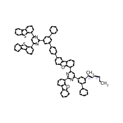 C=C/C=C\C=C(/C)c1cc(-c2ccccc2)cc(-c2cc(-c3cccc4c3oc3ccc(-c5ccc(-c6cc(-c7ccccc7)cc(-c7nc(-c8cccc9c8sc8ccccc89)cc(-c8cccc9c8sc8ccccc89)n7)c6)cc5)cc34)nc(-c3cccc4c3oc3ccccc34)n2)c1